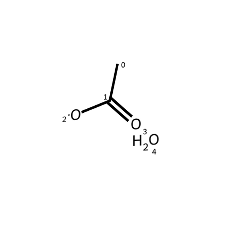 CC([O])=O.O